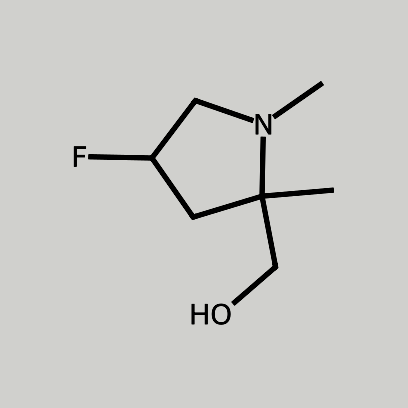 CN1CC(F)CC1(C)CO